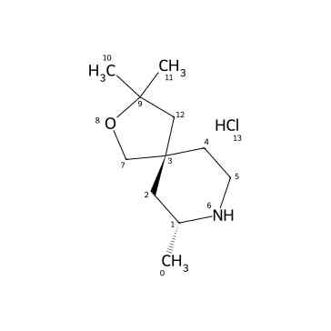 C[C@@H]1C[C@@]2(CCN1)COC(C)(C)C2.Cl